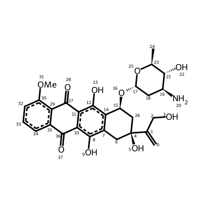 C=C(CO)[C@]1(O)Cc2c(O)c3c(c(O)c2[C@@H](O[C@H]2C[C@H](N)[C@@H](O)[C@H](C)O2)C1)C(=O)c1c(OC)cccc1C3=O